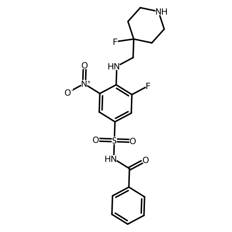 O=C(NS(=O)(=O)c1cc(F)c(NCC2(F)CCNCC2)c([N+](=O)[O-])c1)c1ccccc1